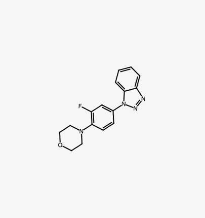 Fc1cc(-n2nnc3ccccc32)ccc1N1CCOCC1